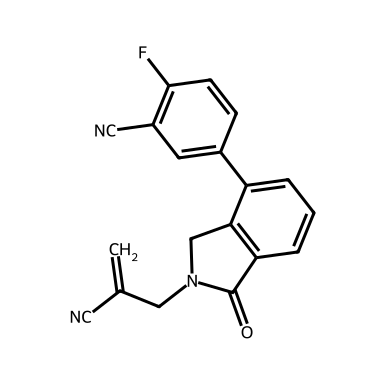 C=C(C#N)CN1Cc2c(cccc2-c2ccc(F)c(C#N)c2)C1=O